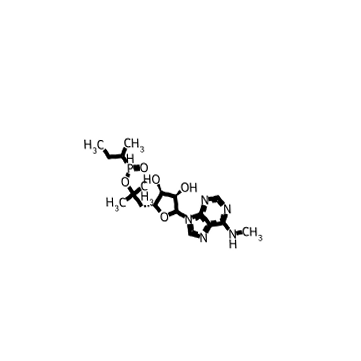 CCC(C)[PH](=O)OC(C)(C)C[C@H]1OC(n2cnc3c(NC)ncnc32)[C@H](O)[C@@H]1O